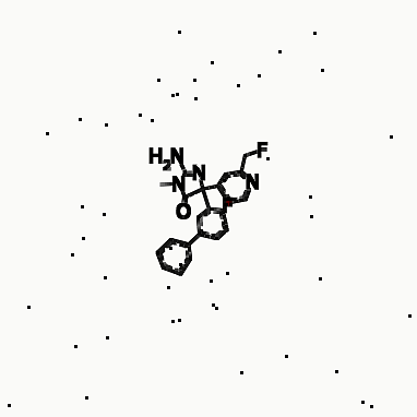 CN1C(=O)C(c2ccnc(CF)c2)(c2cc(-c3ccccc3)ccc2F)N=C1N